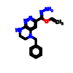 C=CO/C(=N\N)c1cc2c(nn1)NCCN2Cc1ccccc1